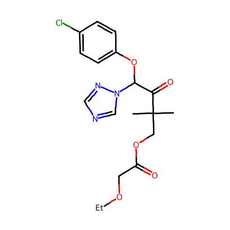 CCOCC(=O)OCC(C)(C)C(=O)C(Oc1ccc(Cl)cc1)n1cncn1